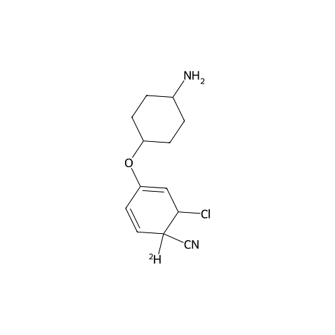 [2H]C1(C#N)C=CC(OC2CCC(N)CC2)=CC1Cl